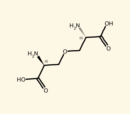 N[C@@H](COC[C@H](N)C(=O)O)C(=O)O